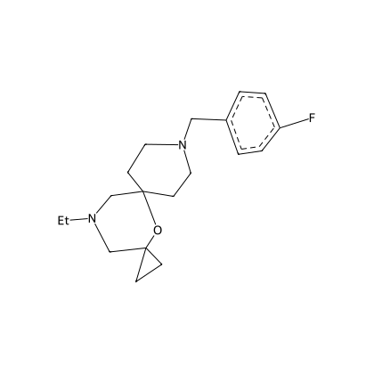 CCN1CC2(CCN(Cc3ccc(F)cc3)CC2)OC2(CC2)C1